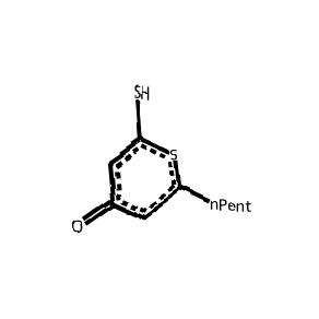 CCCCCc1cc(=O)cc(S)s1